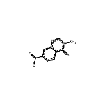 Cn1cnc2cc(C(=O)Cl)ccc2c1=O